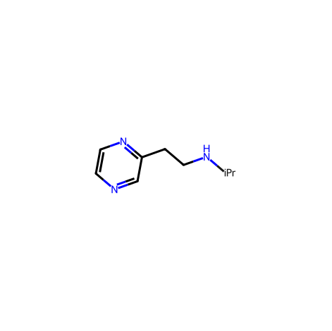 CC(C)NCCc1cnccn1